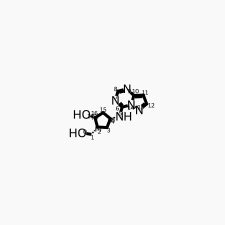 OC[C@H]1C[C@@H](Nc2ncnc3ccnn23)C[C@@H]1O